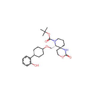 CC(C)(C)OC(=O)N1CCC[C@@]2(CCOC(=O)N2)[C@@H]1COC1CCC(c2ccccc2O)CC1